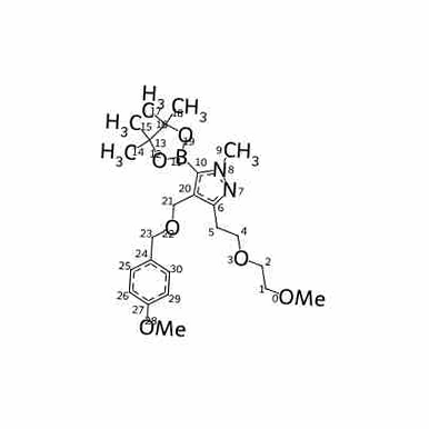 COCCOCCc1nn(C)c(B2OC(C)(C)C(C)(C)O2)c1COCc1ccc(OC)cc1